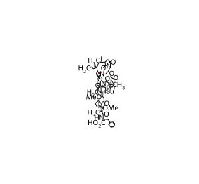 C=CCC1(I)CC(C)(I)C2CC(=O)N(CC(OCC(=O)N(C)[C@H](C(=O)N[C@H](C(=O)N(C)[C@@H]([C@@H](C)CC)[C@@H](CC(=O)N3CCC[C@H]3[C@H](OC)[C@@H](C)C(=O)NC(Cc3ccccc3)C(=O)O)OC)C(C)C)C(C)C)CN3C(=O)CC1C3=O)C2=O